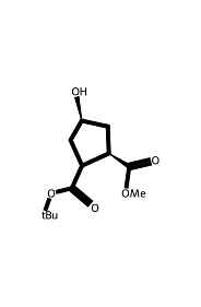 COC(=O)[C@@H]1C[C@H](O)CC1C(=O)OC(C)(C)C